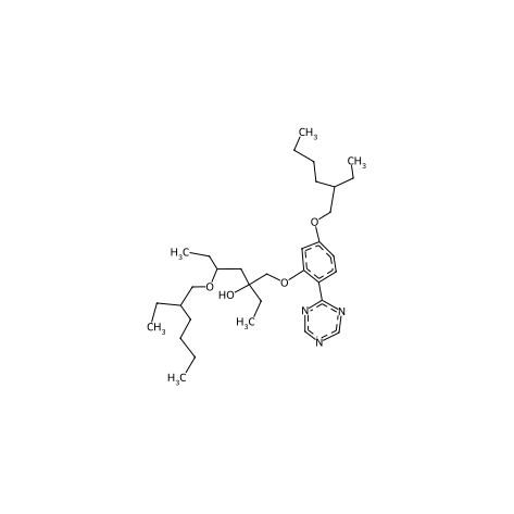 CCCCC(CC)COc1ccc(-c2ncncn2)c(OCC(O)(CC)CC(CC)OCC(CC)CCCC)c1